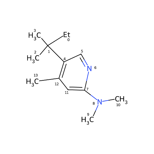 CCC(C)(C)c1cnc(N(C)C)cc1C